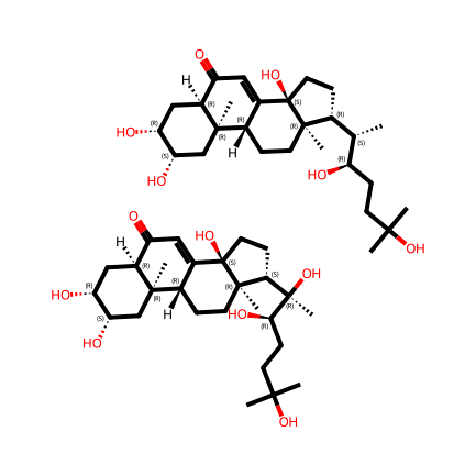 CC(C)(O)CC[C@@H](O)[C@](C)(O)[C@H]1CC[C@@]2(O)C3=CC(=O)[C@@H]4C[C@@H](O)[C@@H](O)C[C@]4(C)[C@H]3CC[C@]12C.C[C@H]([C@H](O)CCC(C)(C)O)[C@H]1CC[C@@]2(O)C3=CC(=O)[C@@H]4C[C@@H](O)[C@@H](O)C[C@]4(C)[C@H]3CC[C@]12C